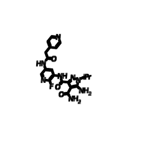 CC(C)n1nc(C(=O)Nc2cc(NC(=O)Cc3ccncc3)cnc2F)c(C(N)=O)c1N